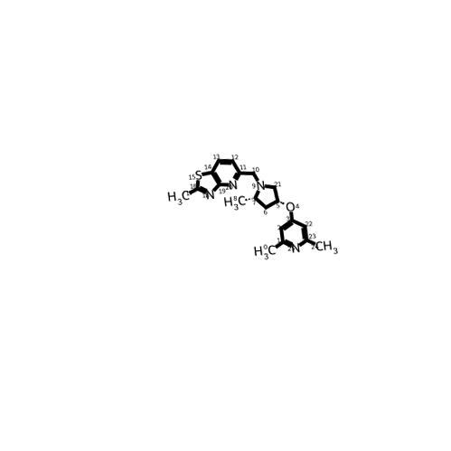 Cc1cc(O[C@@H]2C[C@H](C)N(Cc3ccc4sc(C)nc4n3)C2)cc(C)n1